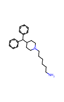 NCCCCCCN1CCC(C(c2ccccc2)c2ccccc2)CC1